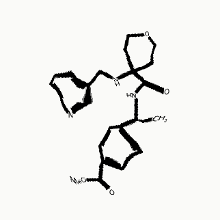 COC(=O)c1ccc([C@H](C)NC(=O)C2(NCc3cccnc3)CCOCC2)cc1